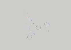 COCCCn1cc(CN(C(=O)C2=C(c3cccc(-c4ccncc4)c3)CCN(C(=O)OC(C)(C)C)C2)C2CC2)c2ccccc21